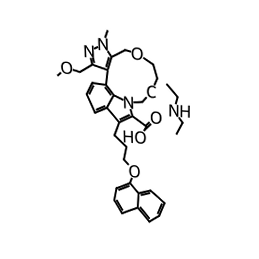 CCNCC.COCc1nn(C)c2c1-c1cccc3c(CCCOc4cccc5ccccc45)c(C(=O)O)n(c13)CCCCOC2